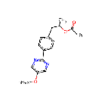 CCCCCCOc1cnc(-c2ccc(CC(C)OC(=O)CCC)cc2)nc1